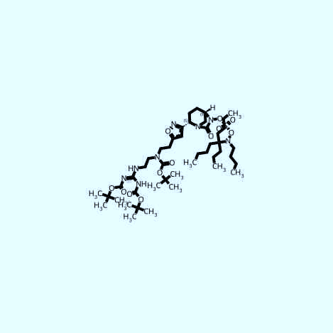 CCCCN(OS(=O)(=O)ON1C(=O)N2C[C@@H]1CC[C@H]2c1cc(CCN(CCN/C(=N/C(=O)OC(C)(C)C)NC(=O)OC(C)(C)C)C(=O)OC(C)(C)C)on1)C(CCC)(CCCC)CCCC